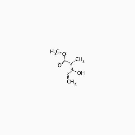 C=CC(O)=C(C)C(=O)OC